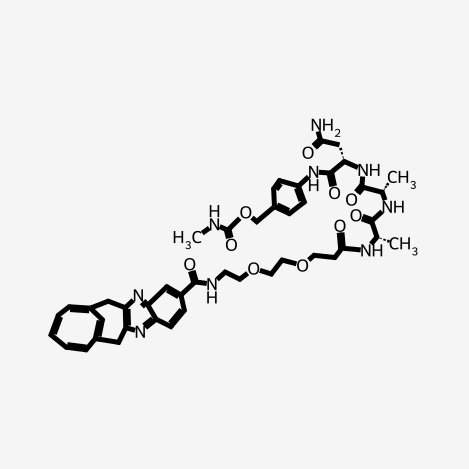 CNC(=O)OCc1ccc(NC(=O)[C@H](CC(N)=O)NC(=O)[C@H](C)NC(=O)[C@H](C)NC(=O)CCOCCOCCNC(=O)c2ccc3nc4c(nc3c2)C/C2=C/C=C\C=C/C(=C2)C4)cc1